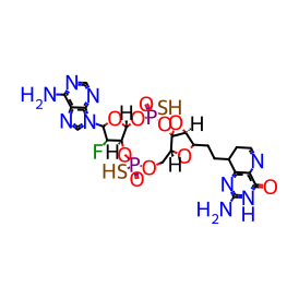 Nc1nc2c(c(=O)[nH]1)N=CCC2CCC1O[C@@H]2COP(=O)(S)O[C@@H]3[C@H](OC(n4cnc5c(N)ncnc54)[C@@H]3F)OP(=O)(S)O[C@@]23O[C@@H]13